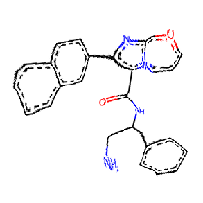 NCC(NC(=O)c1c(-c2ccc3ccccc3c2)nc2occn12)c1ccccc1